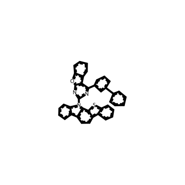 c1ccc(-c2cccc(-c3nc(-n4c5ccccc5c5ccc6c7ccccc7sc6c54)nc4oc5ccccc5c34)c2)cc1